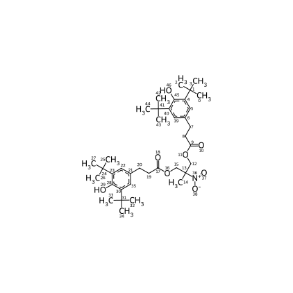 CC(C)(C)c1cc(CCC(=O)OCC(C)(COC(=O)CCc2cc(C(C)(C)C)c(O)c(C(C)(C)C)c2)[N+](=O)[O-])cc(C(C)(C)C)c1O